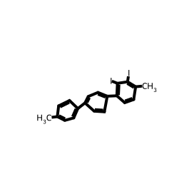 Cc1ccc(-c2ccc(-c3ccc(C)c(I)c3I)cc2)cc1